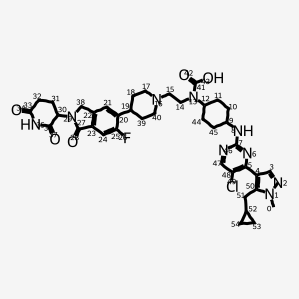 Cn1ncc(-c2nc(NC3CCC(N(CCN4CCC(c5cc6c(cc5F)C(=O)N(C5CCC(=O)NC5=O)C6)CC4)C(=O)O)CC3)ncc2Cl)c1CC1CC1